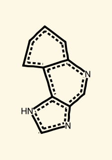 [c]1nc2cnc3ccccc3c2[nH]1